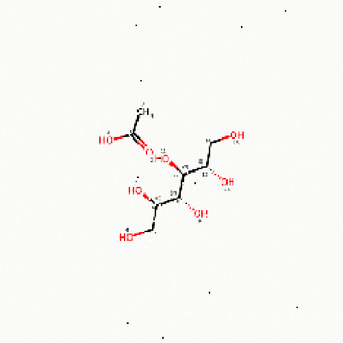 CC(=O)O.OC[C@@H](O)[C@@H](O)[C@@H](O)[C@@H](O)CO